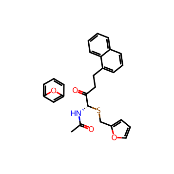 CC(=O)N[C@@H](SCc1ccco1)C(=O)CCc1cccc2ccccc12.c1cc2cc(c1)O2